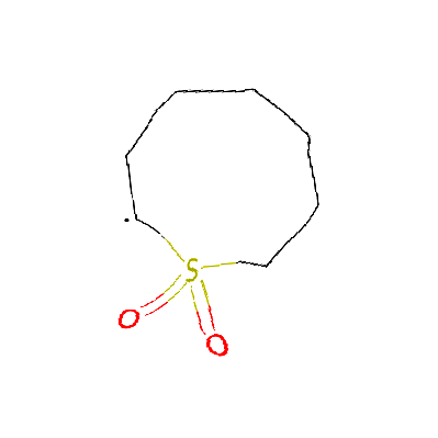 O=S1(=O)[CH]CCCCCC1